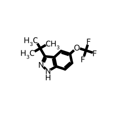 CC(C)(C)c1n[nH]c2ccc(OC(F)(F)F)cc12